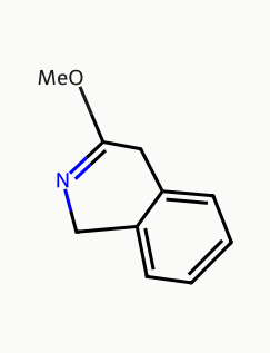 COC1=NCc2ccccc2C1